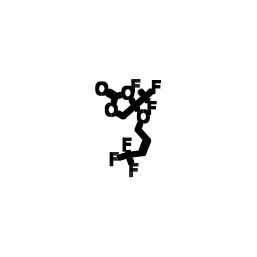 O=C1OCC(OC/C=C\C(F)(F)F)(C(F)(F)F)O1